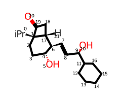 CC(C)[C@]12CC[C@@H](O)[C@H](/C=C/[C@@H](O)C3CCCCC3)[C@H]1CC2=O